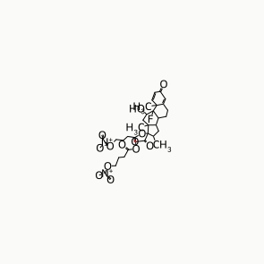 CC1CC2C3CCC4=CC(=O)C=CC4(C)C3(F)C(O)CC2(C)C1(OC(=O)CCCO[N+](=O)[O-])C(=O)COC(=O)CCCO[N+](=O)[O-]